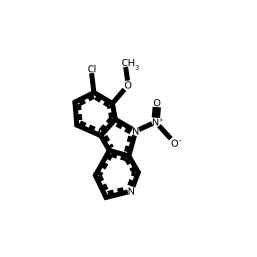 COc1c(Cl)ccc2c3ccncc3n([N+](=O)[O-])c12